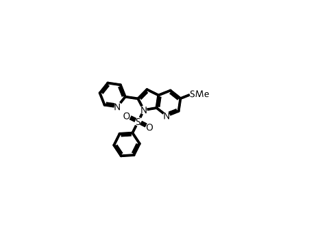 CSc1cnc2c(c1)cc(-c1ccccn1)n2S(=O)(=O)c1ccccc1